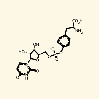 N[C@@H](Cc1ccc(OP(=O)(O)OC[C@H]2O[C@@H](n3ccc(=O)[nH]c3=O)[C@H](O)[C@@H]2O)cc1)C(=O)O